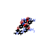 CCN(CC1CCN(c2ccc(C(N)=O)c([C@H]3C(C)(C)[C@H](Oc4ccc(C#N)c5ncccc45)C3(C)C)n2)CC1)[C@H]1C[C@H](Oc2ccc3c(c2)C(=O)N(C2CCC(=O)NC2=O)C3=O)C1